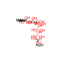 O=BO.O=C(O)O.O=[Si](O)O.OB(O)O.OB(O)O.OB(O)O.OB(O)O.[NaH].[NaH].[NaH].[NaH]